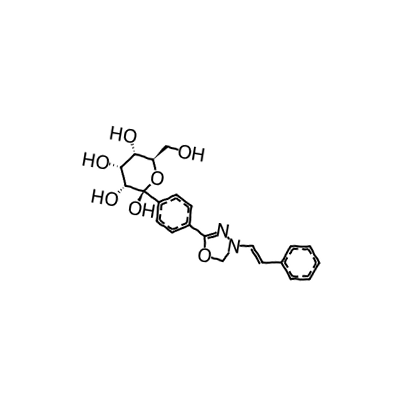 OC[C@H]1O[C@](O)(c2ccc(C3=NN(C=Cc4ccccc4)CO3)cc2)[C@H](O)[C@H](O)[C@@H]1O